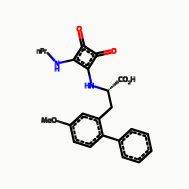 CCCNc1c(N[C@@H](Cc2cc(OC)ccc2-c2ccccc2)C(=O)O)c(=O)c1=O